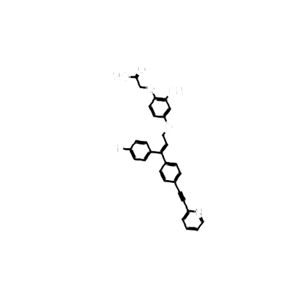 Cc1cc(OC/C=C(\c2ccc(F)cc2)c2ccc(C#Cc3ccccn3)cc2)ccc1OCC(=O)O